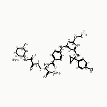 COC(=O)[C@H](CNC(=O)C(=O)N[C@H]1C[C@H](C)CC[C@H]1C(C)C)NC(=O)c1ccc(Nc2nc(NC3(c4ccc(Cl)cc4)CC3)nc(OCC(F)(F)F)n2)cc1